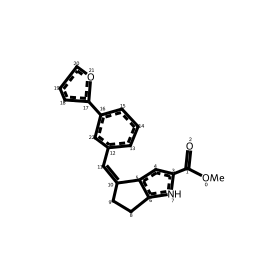 COC(=O)c1cc2c([nH]1)CCC2=Cc1cccc(-c2ccco2)c1